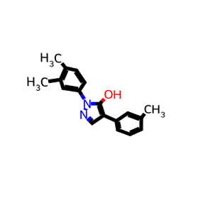 Cc1cccc(-c2cnn(-c3ccc(C)c(C)c3)c2O)c1